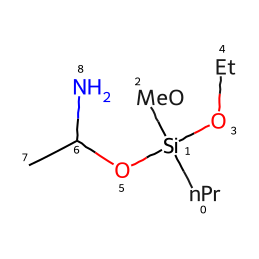 CCC[Si](OC)(OCC)OC(C)N